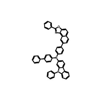 c1ccc(-c2ccc(N(c3ccc(-c4ccc5ccc6oc(-c7ccccc7)nc6c5c4)cc3)c3ccc4c5ccccc5n(-c5ccccc5)c4c3)cc2)cc1